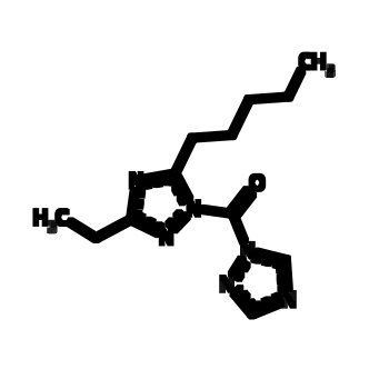 CCCCCc1nc(CC)nn1C(=O)n1cncn1